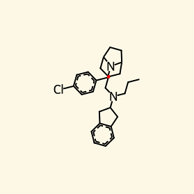 CCCN(CC1CC2CCC(C1)N2Cc1ccc(Cl)cc1)C1Cc2ccccc2C1